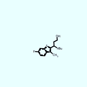 CCCCC(CCO)c1sc2cc(F)ccc2c1C